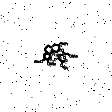 COCP(=O)(N[C@@H](C)C(=O)OC(C)C)O[C@@H]1C[C@@H]2c3cc(OC)c(OC)cc3CCN2C[C@H]1CC(C)C